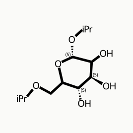 CC(C)OCC1O[C@H](OC(C)C)C(O)[C@@H](O)[C@@H]1O